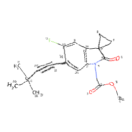 CC(C)(C)OC(=O)N1C(=O)C2(CC2)c2cc(F)c(C#C[Si](C)(C)C)cc21